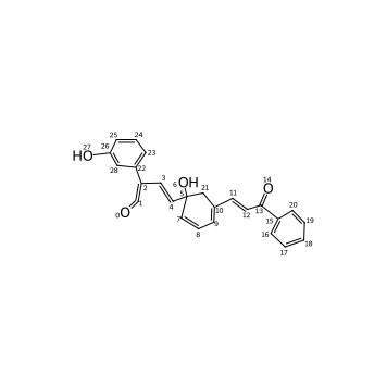 O=C=C(C=CC1(O)C=CC=C(C=CC(=O)c2ccccc2)C1)c1cccc(O)c1